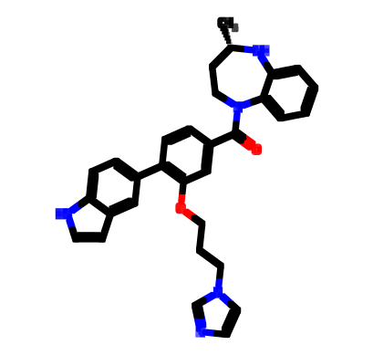 C[C@H]1CCN(C(=O)c2ccc(-c3ccc4[nH]ccc4c3)c(OCCCn3ccnc3)c2)c2ccccc2N1